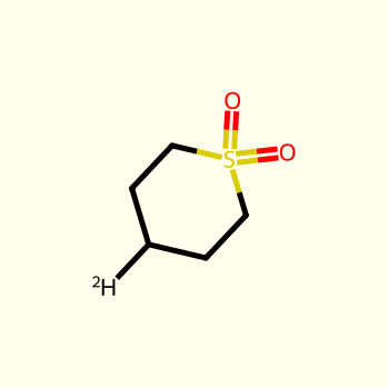 [2H]C1CCS(=O)(=O)CC1